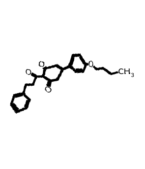 CCCCOc1ccc(C2CC(=O)C(C(=O)CCc3ccccc3)C(=O)C2)cc1